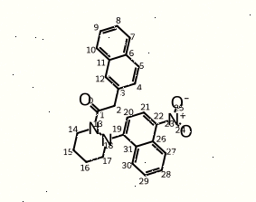 O=C(Cc1ccc2ccccc2c1)N1CCCCN1c1ccc([N+](=O)[O-])c2ccccc12